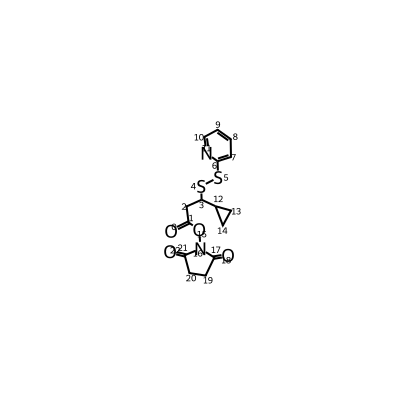 O=C(CC(SSc1ccccn1)C1CC1)ON1C(=O)CCC1=O